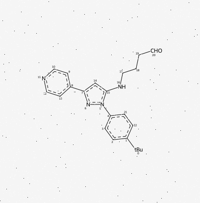 CC(C)(C)c1ccc(-n2nc(-c3ccncc3)cc2NCCCC=O)cc1